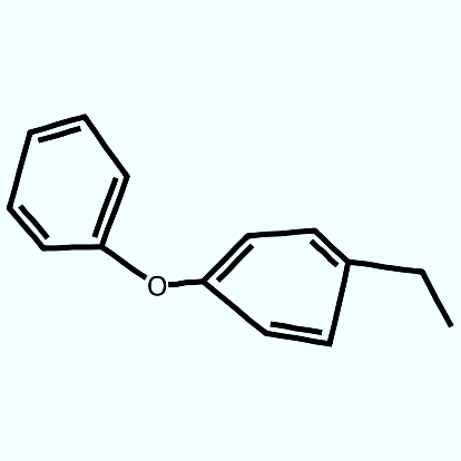 CCc1ccc(Oc2ccccc2)cc1